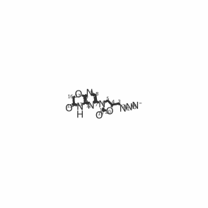 [N-]=[N+]=NCC1CN(c2cnc3c(n2)NC(=O)CO3)C(=O)O1